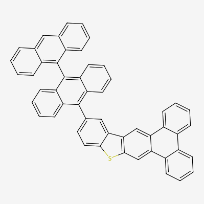 c1ccc2c(-c3c4ccccc4c(-c4ccc5sc6cc7c8ccccc8c8ccccc8c7cc6c5c4)c4ccccc34)c3ccccc3cc2c1